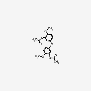 COc1ccc(Oc2ccc(OC)c(OC(C)=O)c2)cc1OC(C)=O